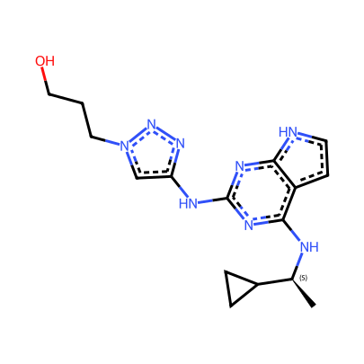 C[C@H](Nc1nc(Nc2cn(CCCO)nn2)nc2[nH]ccc12)C1CC1